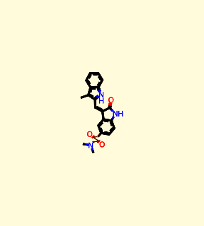 Cc1c(C=C2C(=O)Nc3ccc(S(=O)(=O)N(C)C)cc32)[nH]c2ccccc12